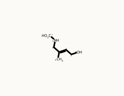 CC(=CCO)CNC(=O)O